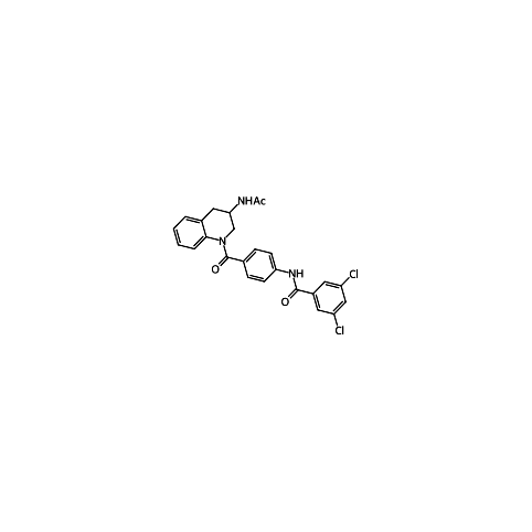 CC(=O)NC1Cc2ccccc2N(C(=O)c2ccc(NC(=O)c3cc(Cl)cc(Cl)c3)cc2)C1